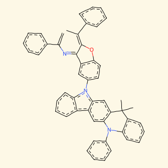 C=C(/N=C1\C(=C(/C)c2ccccc2)Oc2ccc(-n3c4ccccc4c4cc5c(cc43)C(C)(C)c3ccccc3N5c3ccccc3)cc21)c1ccccc1